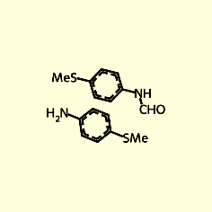 CSc1ccc(N)cc1.CSc1ccc(NC=O)cc1